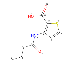 CCCC(=O)Nc1ccsc1C(=O)O